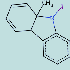 CC12C=CC=CC1c1ccccc1N2I